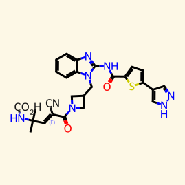 CC(C)(/C=C(\C#N)C(=O)N1CC(Cn2c(NC(=O)c3ccc(-c4cn[nH]c4)s3)nc3ccccc32)C1)NC(=O)O